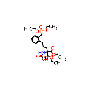 CCOC(=O)C(CCCc1ccccc1CP(=O)(OCC)OCC)(NC(C)=O)C(=O)OCC